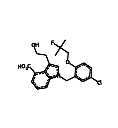 CC(C)(F)COc1ccc(Cl)cc1Cn1cc(CCO)c2c(C(=O)O)cccc21